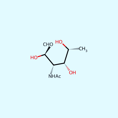 CC(=O)N[C@@H]([C@@H](O)[C@@H](C)O)[C@@H](O)C=O